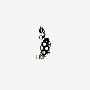 COC[C@]12CC[C@@](C)(O)C[C@H]1CC[C@H]1[C@@H]3CC[C@H](C(=O)Cn4ccnn4)[C@@]3(C)CC[C@@H]12